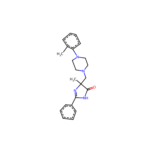 Cc1ccccc1N1CCN(CC2(C)N=C(c3ccccc3)NC2=O)CC1